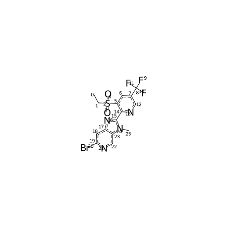 CCS(=O)(=O)c1cc(C(F)(F)F)cnc1-c1nc2cc(Br)ncc2n1C